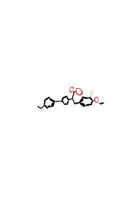 CCOc1ccc2c(c1F)OC(=O)C(c1ccc(-c3ccc(CC)cc3)cc1)C2